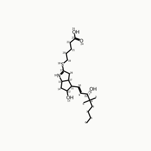 CCCCC(C)(C)[C@@H](O)C=CC1C(O)CC2N=C(SCCCCC(=O)O)CC21